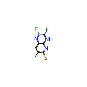 Cc1cc2nc(F)c(F)[nH]c-2nc1=S